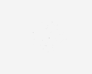 CC(C1(C)COC(C)(C)O1)[P+](c1ccccc1)(c1ccccc1)c1ccccc1.[I-]